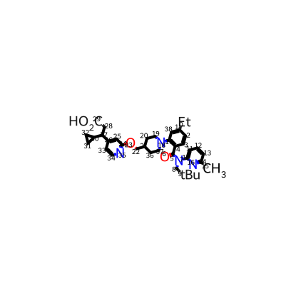 CCc1ccc(C(=O)N(CC(C)(C)C)c2cccc(C)n2)c(N2CCC(COc3cc(C(CC(=O)O)C4CC4)ccn3)CC2)c1